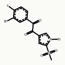 CCn1cc(C(=O)C(=O)c2ccc(F)c(Br)c2)cc1S(C)(=O)=O